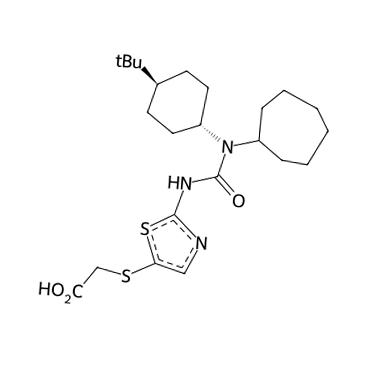 CC(C)(C)[C@H]1CC[C@H](N(C(=O)Nc2ncc(SCC(=O)O)s2)C2CCCCCC2)CC1